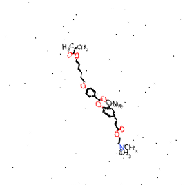 C=C(C)C(=O)OCCCCCCOc1ccc(C(=O)Oc2ccc(/C=C/C(=O)OCCN(C)C)cc2OC)cc1